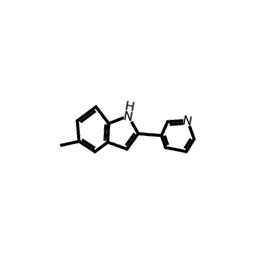 Cc1ccc2[nH]c(-c3cccnc3)cc2c1